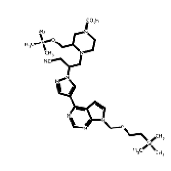 CC(C)(C)[Si](C)(C)OCC1CN(C(=O)O)CCN1CC(CC#N)n1cc(-c2ncnc3c2ccn3COCC[Si](C)(C)C)cn1